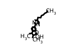 CCCCCCCc1cnc(-c2ccc(C(CC)C(CC)C(=O)O)cc2)nc1